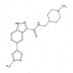 CN1CCC(CNC(=O)c2n[nH]c3ccc(-c4cnn(C)c4)cc23)CC1